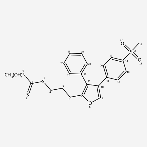 CN(O)C(=S)SCCCc1occ(-c2ccc(S(C)(=O)=O)cc2)c1-c1ccccc1